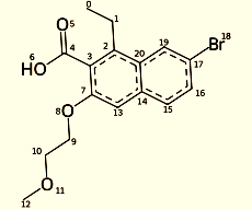 CCc1c(C(=O)O)c(OCCOC)cc2ccc(Br)cc12